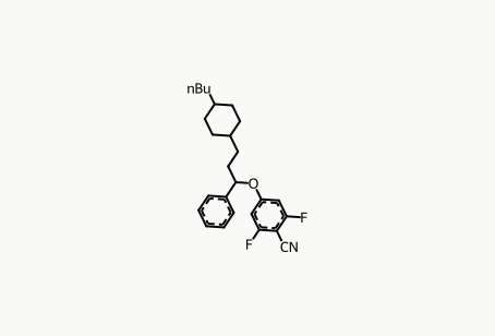 CCCCC1CCC(CCC(Oc2cc(F)c(C#N)c(F)c2)c2ccccc2)CC1